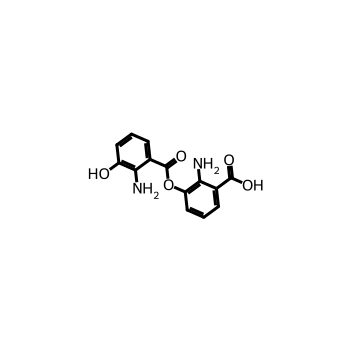 Nc1c(O)cccc1C(=O)Oc1cccc(C(=O)O)c1N